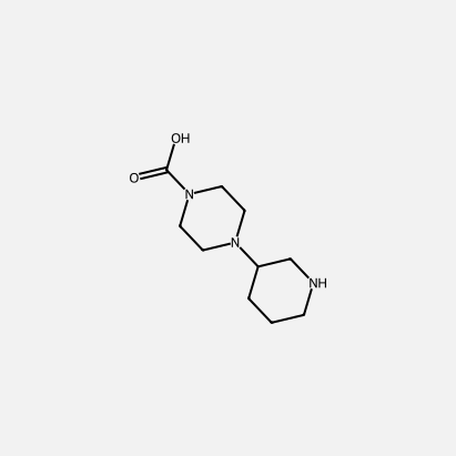 O=C(O)N1CCN(C2CCCNC2)CC1